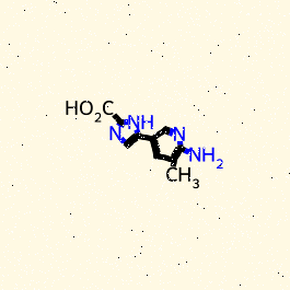 Cc1cc(-c2cnc(C(=O)O)[nH]2)cnc1N